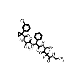 CC(NC(=O)C1(c2cccc(Cl)c2)CC1)C(=O)NC(C(=O)NC(C(=O)C(F)(F)C(=O)NCC(F)(F)F)C(C)C)c1ccccc1